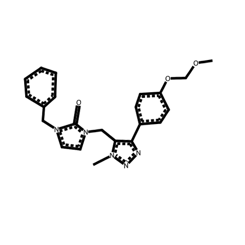 COCOc1ccc(-c2nnn(C)c2Cn2ccn(Cc3ccccc3)c2=O)cc1